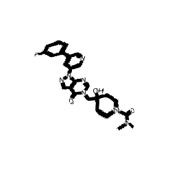 CN(C)C(=O)N1CCC(O)(Cn2cnc3c(cnn3-c3cncc(-c4cccc(F)c4)c3)c2=O)CC1